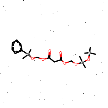 C[Si](C)(C)O[Si](C)(C)OCOC(=O)CC(=O)OCO[Si](C)(C)c1ccccc1